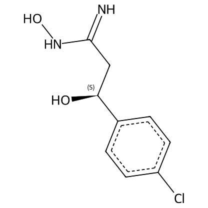 N=C(C[C@H](O)c1ccc(Cl)cc1)NO